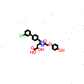 O=C(COc1ccc(O)cc1)NC(Cc1ccc(-c2cccc(Cl)c2)cc1)CC(O)C(=O)O